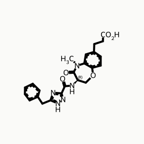 CN1C(=O)[C@H](NC(=O)c2n[nH]c(Cc3ccccc3)n2)COc2ccc(CCC(=O)O)cc21